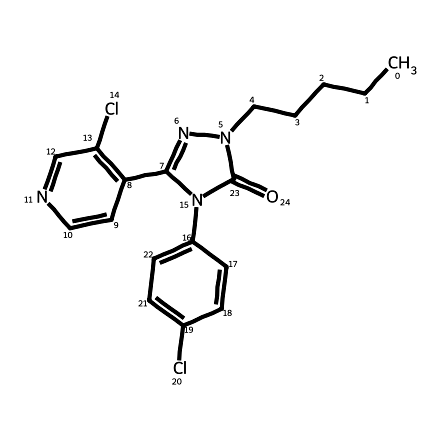 CCCCCn1nc(-c2ccncc2Cl)n(-c2ccc(Cl)cc2)c1=O